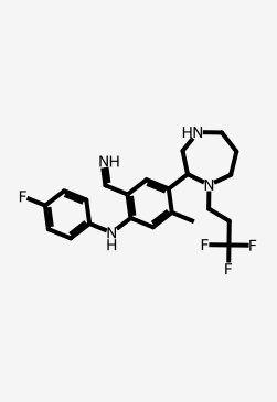 Cc1cc(Nc2ccc(F)cc2)c(C=N)cc1C1CNCCCN1CCC(F)(F)F